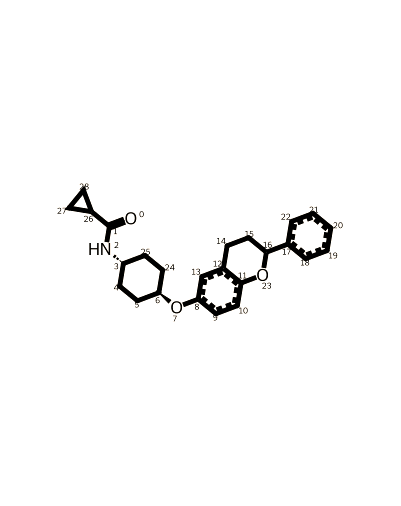 O=C(N[C@H]1CC[C@H](Oc2ccc3c(c2)CCC(c2ccccc2)O3)CC1)C1CC1